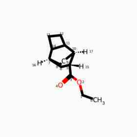 CCOC(=O)[C@@H]1C[C@@H]2CC[C@H]1C1CCC12